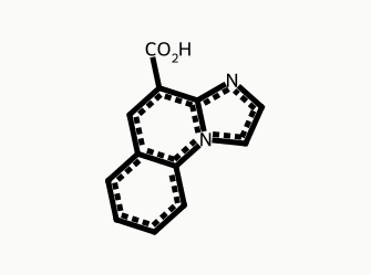 O=C(O)c1cc2ccccc2n2ccnc12